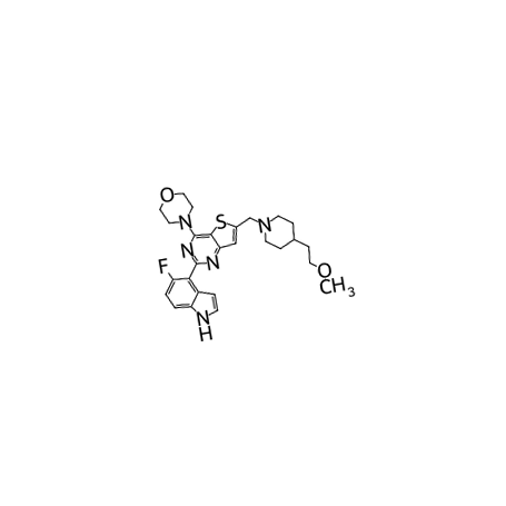 COCCC1CCN(Cc2cc3nc(-c4c(F)ccc5[nH]ccc45)nc(N4CCOCC4)c3s2)CC1